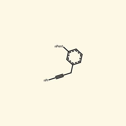 [CH2]CCCCc1cccc(CC#CCCC)c1